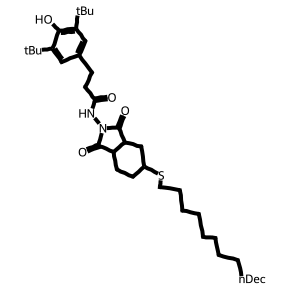 CCCCCCCCCCCCCCCCCCSC1CCC2C(=O)N(NC(=O)CCc3cc(C(C)(C)C)c(O)c(C(C)(C)C)c3)C(=O)C2C1